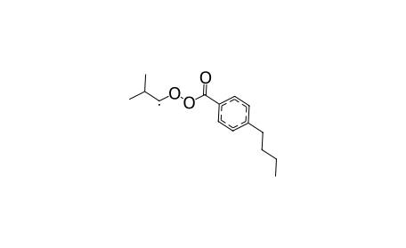 CCCCc1ccc(C(=O)OO[CH]C(C)C)cc1